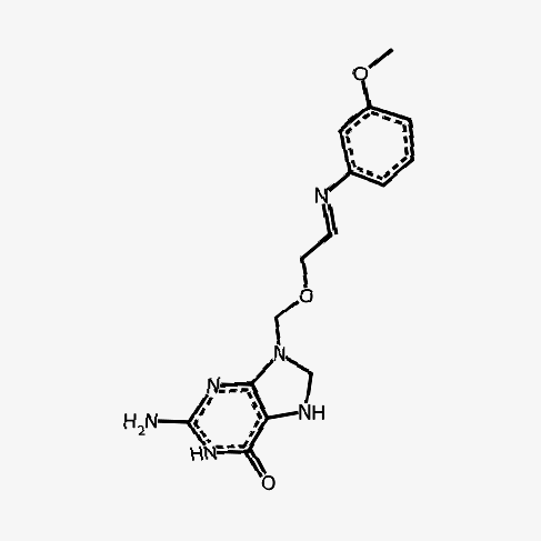 COc1cccc(N=CCOCN2CNc3c2nc(N)[nH]c3=O)c1